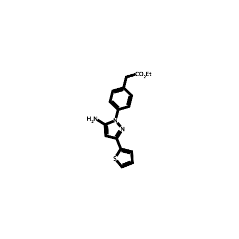 CCOC(=O)Cc1ccc(-n2nc(-c3cccs3)cc2N)cc1